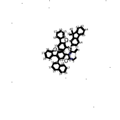 C=C/C(=c1\c(=C/C)oc2c(-c3cccc4ccccc34)c3c(cc12)oc1ccccc13)N(c1ccc2c(c1)C(C)(C)c1ccccc1-2)c1cccc2c1oc1ccccc12